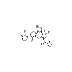 CCSN[C@@H]1[C@H](Cc2cccc(-c3cccc(C)c3F)c2F)N(C(=O)C2CCO2)CC1(F)F